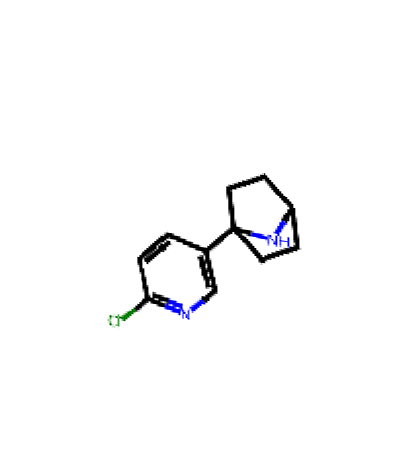 Clc1ccc(C23CCC(CC2)N3)cn1